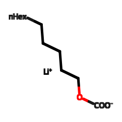 CCCCCCCCCCCOC(=O)[O-].[Li+]